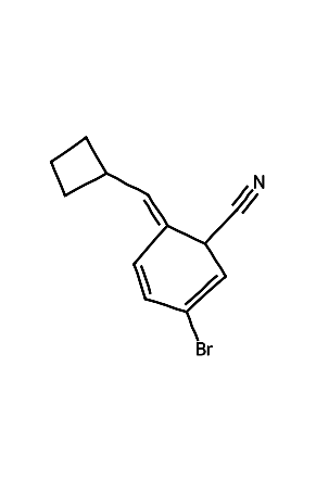 N#CC1C=C(Br)C=CC1=CC1CCC1